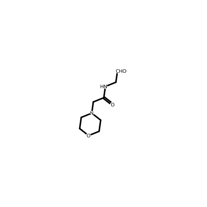 O=[C]CNC(=O)CN1CCOCC1